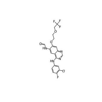 O=CNc1cc2c(Nc3ccc(F)c(Cl)c3)ncnc2cc1OCCOCC(F)(F)F